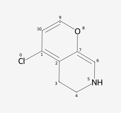 ClC1=C2CCNC=C2O[C]=C1